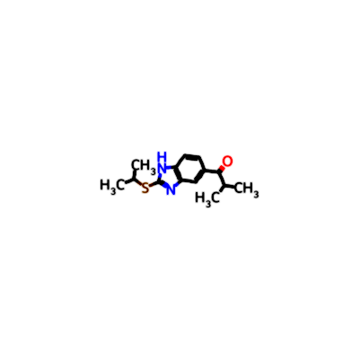 CC(C)Sc1nc2cc(C(=O)C(C)C)ccc2[nH]1